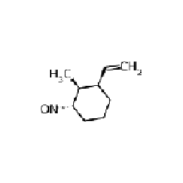 C=C[C@H]1CCC[C@H](N=O)[C@H]1C